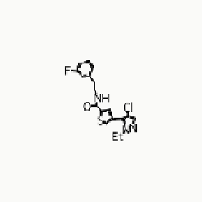 CCn1ncc(Cl)c1-c1csc(C(=O)NCCc2cccc(F)c2)c1